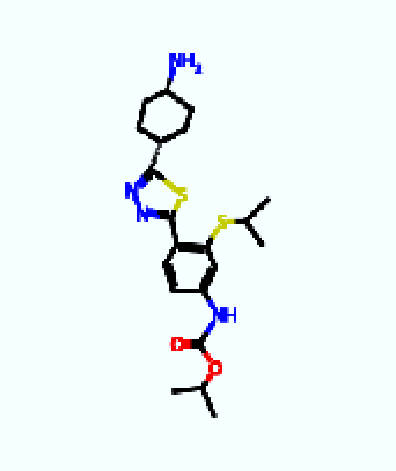 CC(C)OC(=O)Nc1ccc(-c2nnc([C@H]3CC[C@H](N)CC3)s2)c(SC(C)C)c1